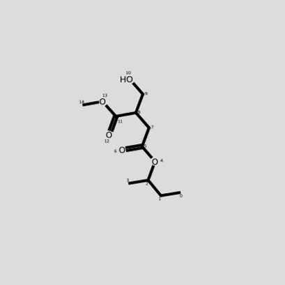 CCC(C)OC(=O)CC(CO)C(=O)OC